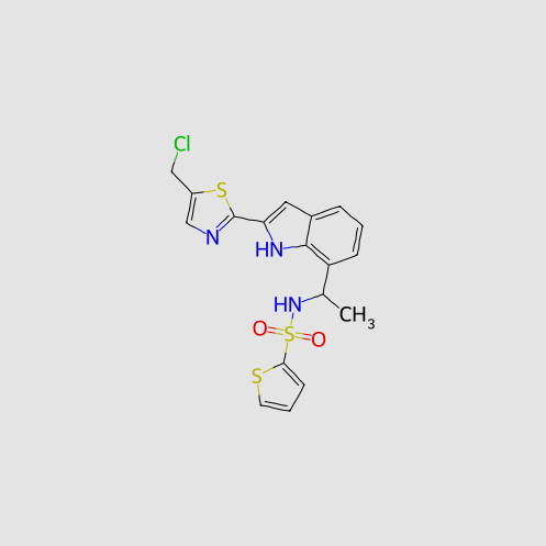 CC(NS(=O)(=O)c1cccs1)c1cccc2cc(-c3ncc(CCl)s3)[nH]c12